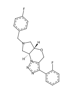 Fc1ccc(CN2C[C@@H]3OCc4c(-c5ccccc5F)nnn4[C@H]3C2)cc1